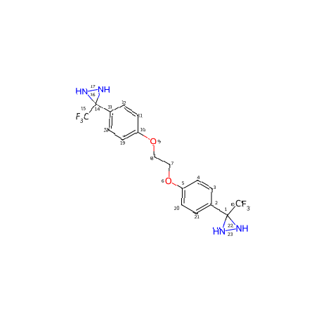 FC(F)(F)C1(c2ccc(OCCOc3ccc(C4(C(F)(F)F)NN4)cc3)cc2)NN1